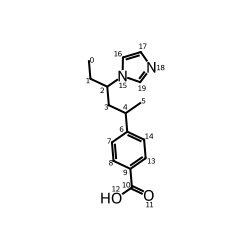 CCC(CC(C)c1ccc(C(=O)O)cc1)n1ccnc1